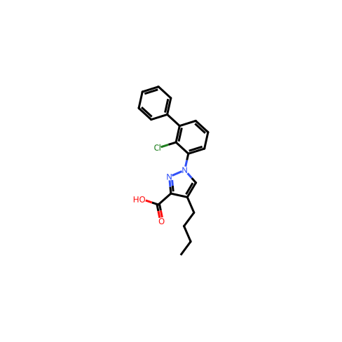 CCCCc1cn(-c2cccc(-c3ccccc3)c2Cl)nc1C(=O)O